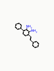 Nc1c(C=Cc2ccccc2)ccc(-c2ccccc2)c1N